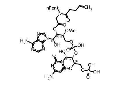 C=CCCC(=O)N(CCCCC)CC(=O)O[C@@H]([C@@H](O)n1cnc2c(N)ncnc21)[C@@H](COP(=O)(O)O[C@@H]([C@@H](O)n1ccc(N)nc1=O)[C@@H](COP(=O)(O)O)OC)OC